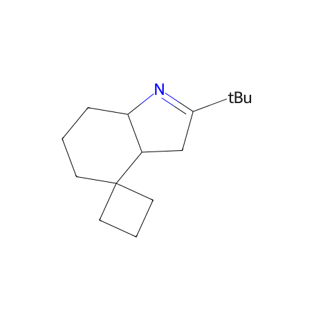 CC(C)(C)C1=NC2CCCC3(CCC3)C2C1